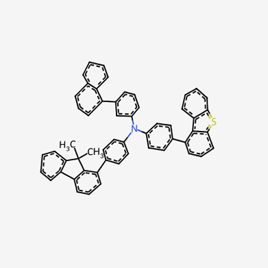 CC1(C)c2ccccc2-c2cccc(-c3ccc(N(c4ccc(-c5cccc6sc7ccccc7c56)cc4)c4cccc(-c5cccc6ccccc56)c4)cc3)c21